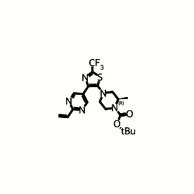 C=Cc1ncc(-c2nc(C(F)(F)F)sc2N2CCN(C(=O)OC(C)(C)C)[C@H](C)C2)cn1